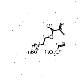 C=C(C)C(=O)OCCNCCCC.C=CC(=O)O